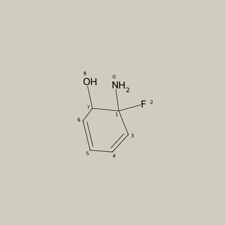 NC1(F)C=CC=CC1O